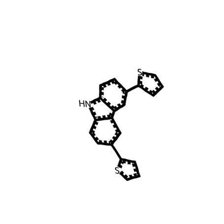 c1csc(-c2ccc3[nH]c4ccc(-c5cccs5)cc4c3c2)c1